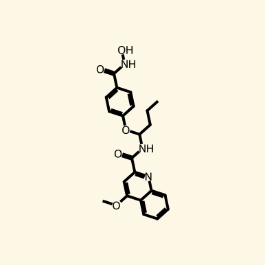 CCCC(NC(=O)c1cc(OC)c2ccccc2n1)Oc1ccc(C(=O)NO)cc1